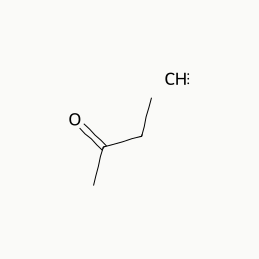 CCC(C)=O.[CH]